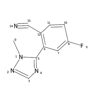 Cn1ncnc1-c1cc(F)ccc1C#N